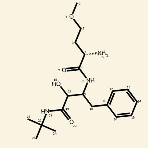 COCC[C@H](N)C(=O)NC(Cc1ccccc1)C(O)C(=O)NC(C)(C)C